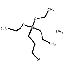 CCO[Si](CCCS)(OCC)OCC.N